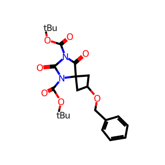 CC(C)(C)OC(=O)N1C(=O)N(C(=O)OC(C)(C)C)C2(CC(OCc3ccccc3)C2)C1=O